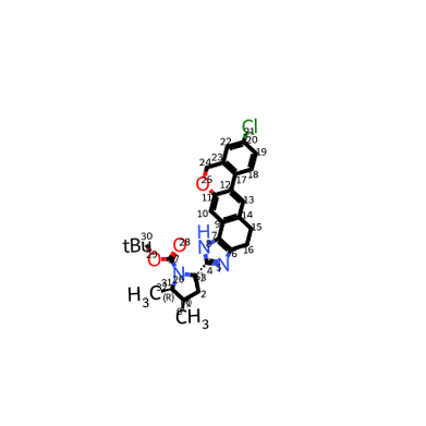 C[C@@H]1C[C@@H](c2nc3c([nH]2)-c2cc4c(cc2CC3)-c2ccc(Cl)cc2CO4)N(C(=O)OC(C)(C)C)[C@@H]1C